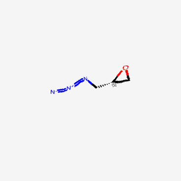 [N-]=[N+]=NC[C@H]1CO1